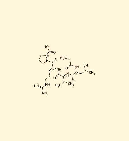 CC(C)C[C@H](NC(=O)CN)C(=O)N[C@H](C(=O)N[C@@H](CCCNC(=N)N)C(=O)N1CCC[C@H]1C(=O)O)C(C)C